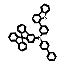 c1ccc(-c2ccc(N(c3cccc(-c4cccc5c4sc4ccccc45)c3)c3ccc4c(c3)-c3ccccc3C43c4ccccc4-c4ccccc43)cc2)cc1